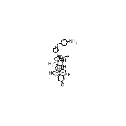 C[C@]12C=CC(=O)C=C1[C@@H](F)C[C@H]1[C@@H]3C[C@H]4O[C@@H](c5ccn(Cc6ccc(N)cc6)c5)O[C@@]4(C(=O)SCF)[C@@]3(C)C[C@H](O)[C@@]12F